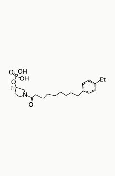 CCc1ccc(CCCCCCCCC(=O)N2CC[C@@H](OP(=O)(O)O)C2)cc1